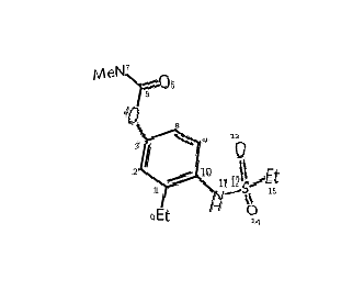 CCc1cc(OC(=O)NC)ccc1NS(=O)(=O)CC